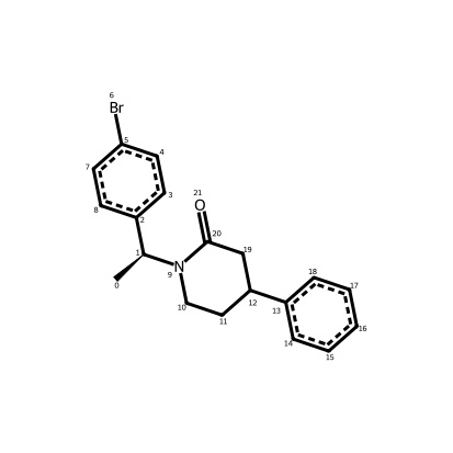 C[C@@H](c1ccc(Br)cc1)N1CCC(c2ccccc2)CC1=O